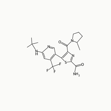 CC1CCCN1C(=O)c1nc(C(N)=O)sc1-c1cnc(NC(C)(C)C)cc1C(F)(F)F